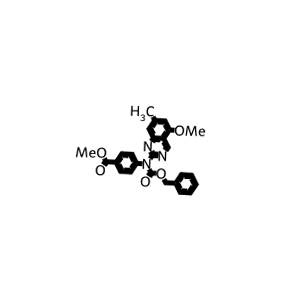 COC(=O)c1ccc(N(C(=O)OCc2ccccc2)c2ncc3c(OC)cc(C)cc3n2)cc1